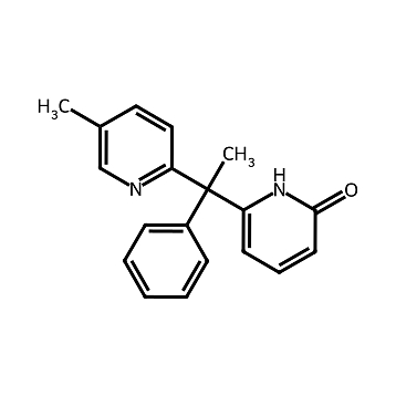 Cc1ccc(C(C)(c2ccccc2)c2cccc(=O)[nH]2)nc1